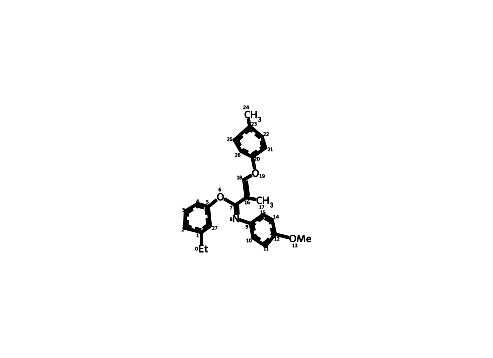 CCc1cccc(OC(=Nc2ccc(OC)cc2)C(C)=COc2ccc(C)cc2)c1